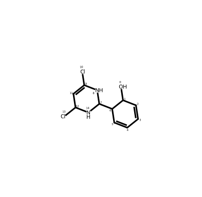 OC1C=CC=CC1C1NC(Cl)=CC(Cl)N1